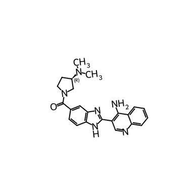 CN(C)[C@@H]1CCN(C(=O)c2ccc3[nH]c(-c4cnc5ccccc5c4N)nc3c2)C1